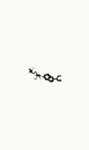 CCC(CC)c1ccc2cc(OCC(=O)OCC(C)(F)F)ccc2c1